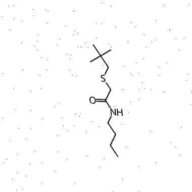 CCCCNC(=O)CSCC(C)(C)C